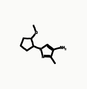 COC1CCCC1n1cc(N)c(C)n1